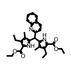 CCOC(=O)c1[nH]c(C(c2ccc3ccccc3n2)c2[nH]c(C(=O)OCC)c(CC)c2C)c(C)c1CC